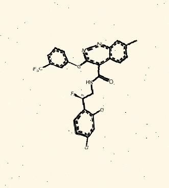 Cc1ccc2c(C(=O)NC[C@H](F)c3ccc(Cl)cc3Cl)c(Oc3cccc(C(F)(F)F)c3)nnc2c1